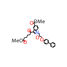 COC(=O)CCCCC(=O)c1cn(CC(=O)COc2ccc(-c3ccccc3)cc2)c2ccc(C(=O)OC)cc12